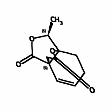 C[C@@H]1OC(=O)[C@@]23C=CCCC12OC(=O)C3